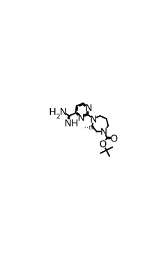 C[C@H]1CN(C(=O)OC(C)(C)C)CCCN1c1nccc(C(=N)N)n1